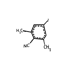 Cc1cc(I)cc(C)c1C#N